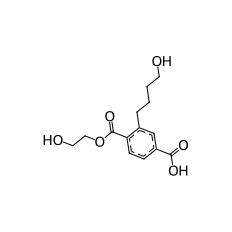 O=C(O)c1ccc(C(=O)OCCO)c(CCCCO)c1